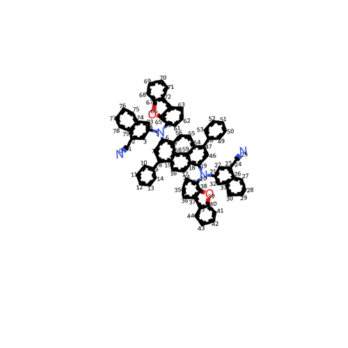 N#Cc1cc(N(c2cc(-c3ccccc3)c3ccc4c(N(c5cc(C#N)c6ccccc6c5)c5cccc6c5oc5ccccc56)cc(-c5ccccc5)c5ccc2c3c54)c2cccc3c2oc2ccccc23)cc2ccccc12